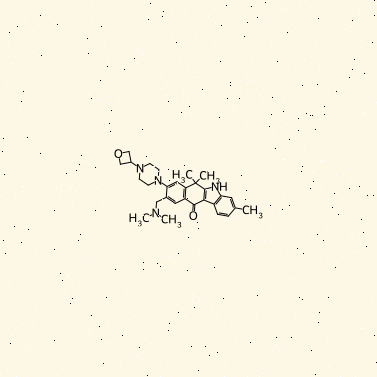 Cc1ccc2c3c([nH]c2c1)C(C)(C)c1cc(N2CCN(C4COC4)CC2)c(CN(C)C)cc1C3=O